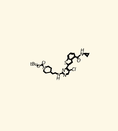 CC(C)(C)OC(=O)N1CCC(CCNc2ncc(Cl)c(-c3cc4c(C(=O)NC5CC5)cccc4s3)n2)CC1